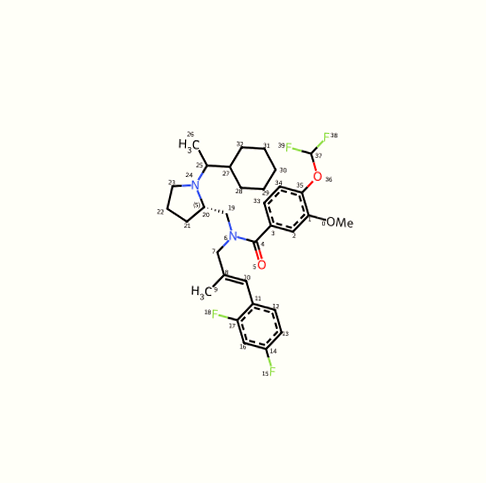 COc1cc(C(=O)N(CC(C)=Cc2ccc(F)cc2F)C[C@@H]2CCCN2C(C)C2CCCCC2)ccc1OC(F)F